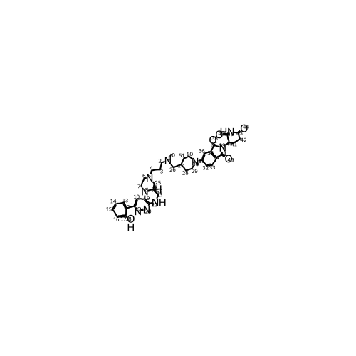 CN(CCCN1CCN2c3cc(-c4ccccc4O)nnc3NC[C@H]2C1)CC1CCN(c2ccc3c(c2)C(=O)N(C2CCC(=O)NC2=O)C3=O)CC1